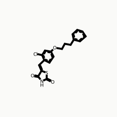 O=C1NC(=O)/C(=C/c2ccc(OCCCc3ccccc3)cc2Cl)S1